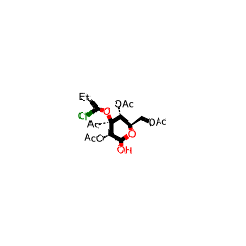 CCC(Cl)O[C@@]1(C(C)=O)[C@H](OC(C)=O)[C@@H](COC(C)=O)OC(O)[C@@H]1OC(C)=O